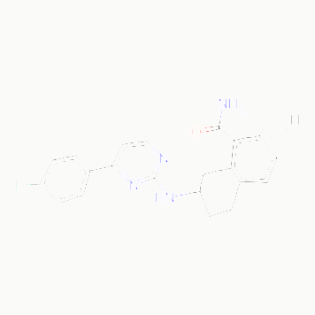 NC(=O)c1c(C(=O)O)ccc2c1CC(Nc1nccc(-c3ccc(F)cc3)n1)CC2